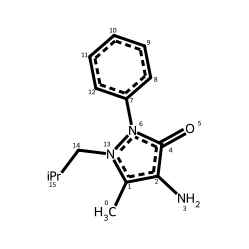 Cc1c(N)c(=O)n(-c2ccccc2)n1CC(C)C